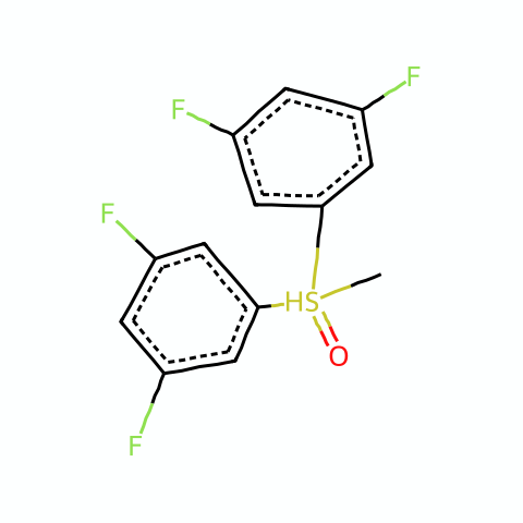 C[SH](=O)(c1cc(F)cc(F)c1)c1cc(F)cc(F)c1